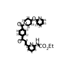 CCOC(=O)Nc1cccc(C=CC(=O)c2ccc(C(=O)N3CCC(Oc4ccccn4)CC3)cc2)n1